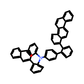 c1ccc(N(c2ccc(-c3ccccc3-c3cccc4c3ccc3c5ccccc5ccc43)cc2)c2ccccc2-c2ccc3ccccc3c2)cc1